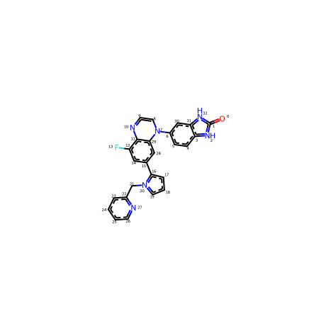 O=c1[nH]c2ccc(N3C=C=Nc4c(F)cc(-c5cccn5Cc5ccccn5)cc43)cc2[nH]1